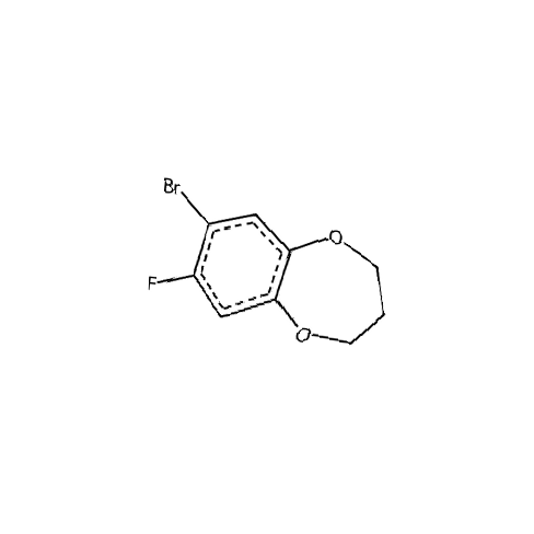 Fc1cc2c(cc1Br)OCCCO2